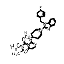 CCN(C)C(=O)n1c(N(C)C2CCN(c3nc4ccccc4n3Cc3ccc(F)cc3)CC2)nccc1=O